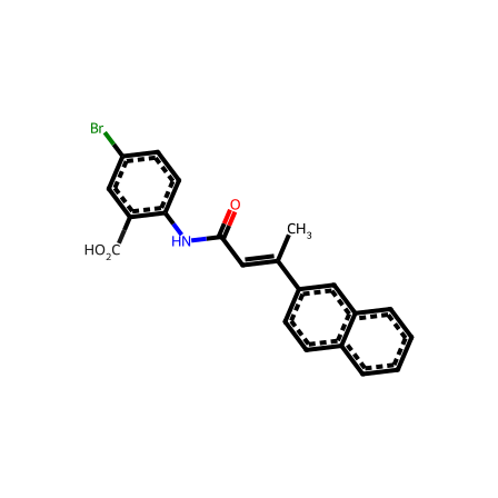 CC(=CC(=O)Nc1ccc(Br)cc1C(=O)O)c1ccc2ccccc2c1